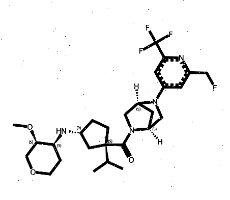 CO[C@@H]1COCC[C@@H]1N[C@@H]1CC[C@@](C(=O)N2C[C@@H]3C[C@H]2CN3c2cc(CF)nc(C(F)(F)F)c2)(C(C)C)C1